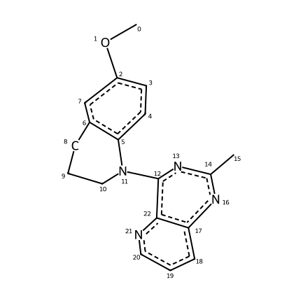 COc1ccc2c(c1)CCCN2c1nc(C)nc2cccnc12